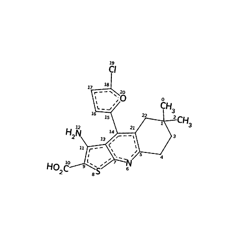 CC1(C)CCc2nc3sc(C(=O)O)c(N)c3c(-c3ccc(Cl)o3)c2C1